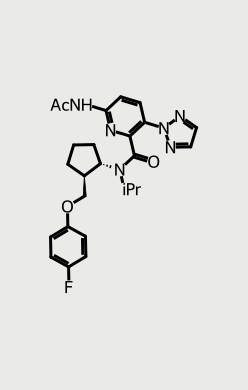 CC(=O)Nc1ccc(-n2nccn2)c(C(=O)N(C(C)C)[C@H]2CCC[C@@H]2COc2ccc(F)cc2)n1